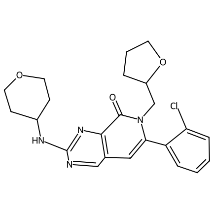 O=c1c2nc(NC3CCOCC3)ncc2cc(-c2ccccc2Cl)n1CC1CCCO1